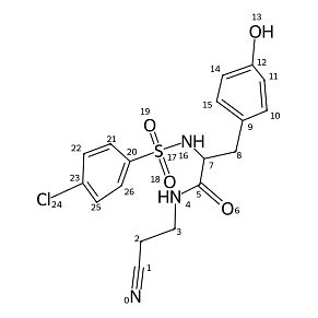 N#CCCNC(=O)C(Cc1ccc(O)cc1)NS(=O)(=O)c1ccc(Cl)cc1